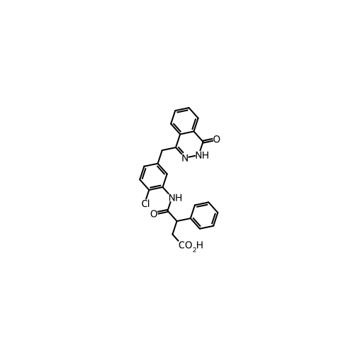 O=C(O)CC(C(=O)Nc1cc(Cc2n[nH]c(=O)c3ccccc23)ccc1Cl)c1ccccc1